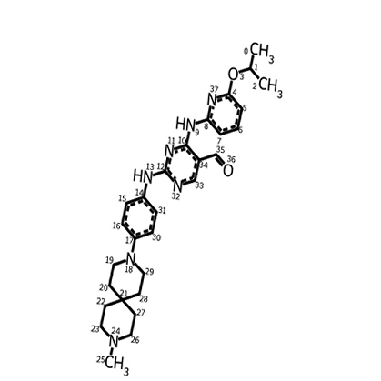 CC(C)Oc1cccc(Nc2nc(Nc3ccc(N4CCC5(CCN(C)CC5)CC4)cc3)ncc2C=O)n1